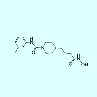 Cc1cccc(NC(=O)N2CCC(CCCC(=O)NO)CC2)c1